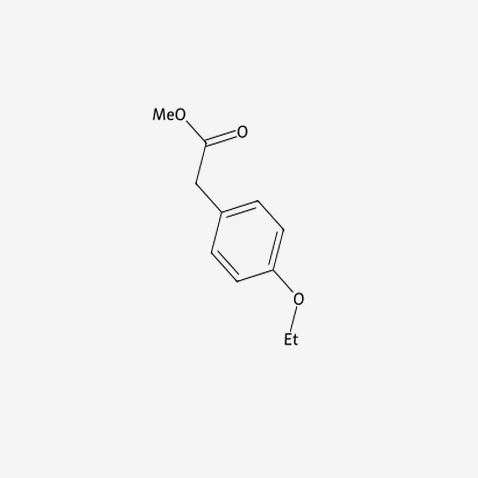 CCOc1ccc(CC(=O)OC)cc1